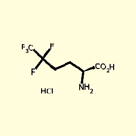 Cl.N[C@@H](CCC(F)(F)C(F)(F)F)C(=O)O